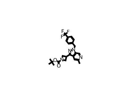 Cc1cc2c(C3CN(C(=O)OC(C)(C)C)C3)nn(Cc3ccc(C(F)(F)F)cc3)c2cn1